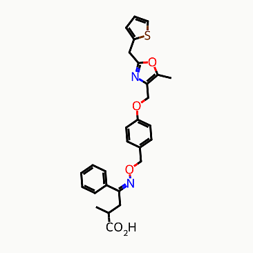 Cc1oc(Cc2cccs2)nc1COc1ccc(CON=C(CC(C)C(=O)O)c2ccccc2)cc1